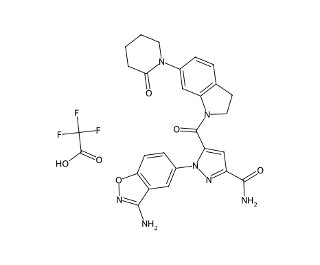 NC(=O)c1cc(C(=O)N2CCc3ccc(N4CCCCC4=O)cc32)n(-c2ccc3onc(N)c3c2)n1.O=C(O)C(F)(F)F